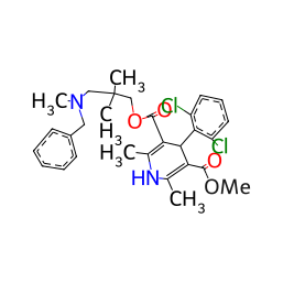 COC(=O)C1=C(C)NC(C)=C(C(=O)OCC(C)(C)CN(C)Cc2ccccc2)C1c1c(Cl)cccc1Cl